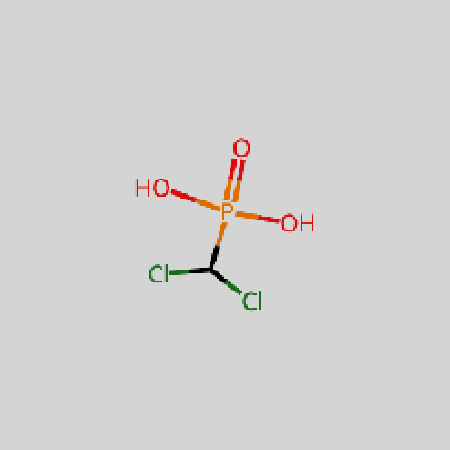 O=P(O)(O)C(Cl)Cl